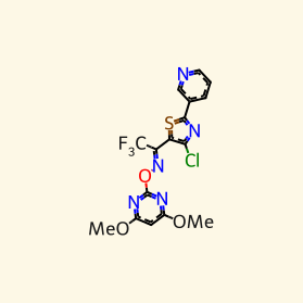 COc1cc(OC)nc(O/N=C(/c2sc(-c3cccnc3)nc2Cl)C(F)(F)F)n1